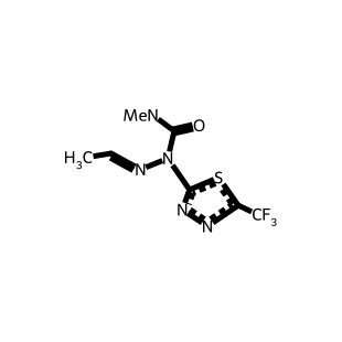 CC=NN(C(=O)NC)c1nnc(C(F)(F)F)s1